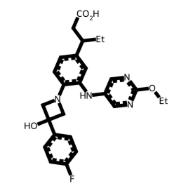 CCOc1ncc(Nc2cc(C(CC)CC(=O)O)ccc2N2CC(O)(c3ccc(F)cc3)C2)cn1